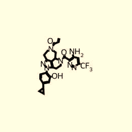 C=CC(=O)N1CCc2nn(-c3ccc(C4CC4)cc3O)c3c2C(C1)N(C(=O)c1nnc(C(F)(F)F)cc1N)CC3